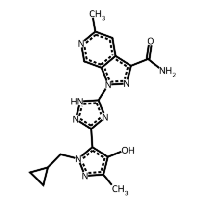 Cc1cc2c(C(N)=O)nn(-c3nc(-c4c(O)c(C)nn4CC4CC4)n[nH]3)c2cn1